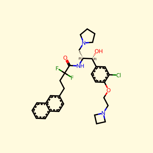 O=C(N[C@H](CN1CCCC1)[C@H](O)c1ccc(OCCN2CCC2)c(Cl)c1)C(F)(F)CCc1ccc2ccccc2c1